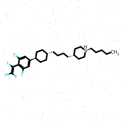 CCCCC[Si@H]1CC[C@H](CCCC[C@H]2CC[C@H](c3cc(F)c(C(F)=C(F)F)c(F)c3)CC2)CC1